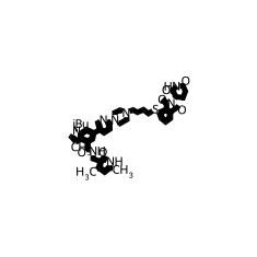 CC[C@H](C)n1cc(C)c2c(C(=O)NCc3c(C)cc(C)[nH]c3=O)cc(-c3ccc(N4CCN(CCCCSc5cccc6c5C(=O)N(C5CCC(=O)NC5=O)C6=O)CC4)nc3)cc21